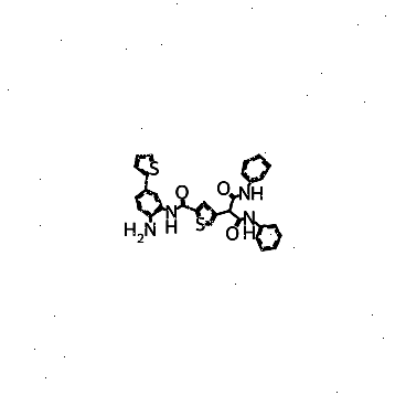 Nc1ccc(-c2cccs2)cc1NC(=O)c1cc(C(C(=O)Nc2ccccc2)C(=O)Nc2ccccc2)cs1